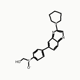 [O-][S+](CO)c1ccc(-c2ccc3ncc(N4CCCCC4)nc3c2)cc1